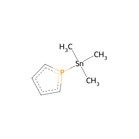 [CH3][Sn]([CH3])([CH3])[p]1cccc1